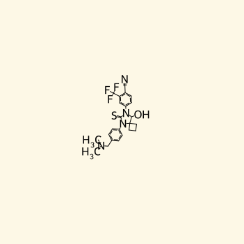 CN(C)Cc1ccc(N2C(=S)N(c3ccc(C#N)c(C(F)(F)F)c3)C(O)C23CCC3)cc1